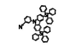 N#Cc1cccc(-n2c3ccc([Si](c4ccccc4)(c4ccccc4)c4ccccc4)cc3c3cc([Si](c4ccccc4)(c4ccccc4)c4ccccc4)ccc32)c1